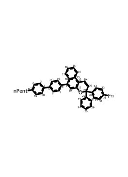 CCCCCc1ccc(-c2ccc(-c3cc4c(c5ccccc35)C=CC(c3ccccc3)(c3ccc(F)cc3)O4)cc2)cc1